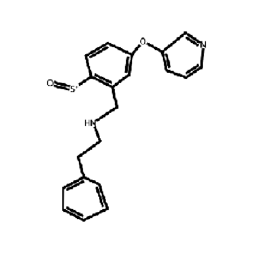 O=[S+]c1ccc(Oc2cccnc2)cc1CNCCc1ccccc1